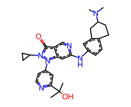 CN(C)C1CCc2ccc(Nc3cc4c(cn3)c(=O)n(C3CC3)n4-c3ccnc(C(C)(C)O)c3)cc2C1